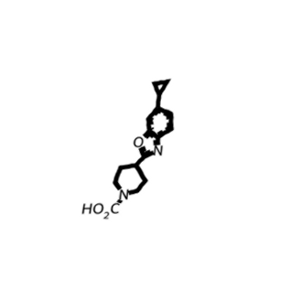 O=C(O)N1CCC(c2nc3ccc(C4CC4)cc3o2)CC1